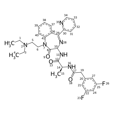 CCN(CC)CCN1C(=O)C(NC(=O)[C@H](C)NC(=O)Cc2cc(F)cc(F)c2)N=C(c2ccccn2)c2ccccc21